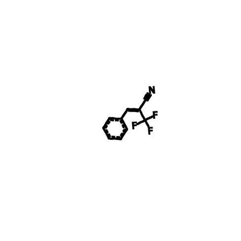 N#CC(=Cc1ccccc1)C(F)(F)F